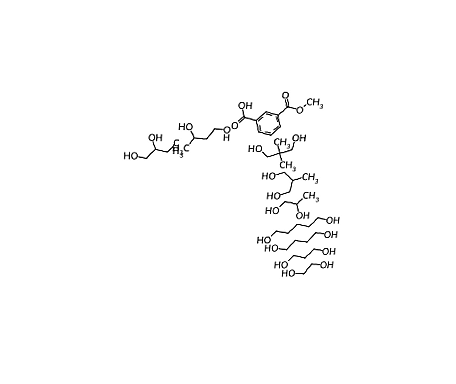 CC(C)(CO)CO.CC(CO)CO.CC(O)CCO.CC(O)CO.CCC(O)CO.COC(=O)c1cccc(C(=O)O)c1.OCCCCCO.OCCCCO.OCCCO.OCCO